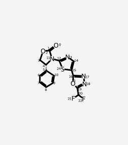 O=C1OC[C@@H](c2ccccc2)N1c1ncc(-c2nnc(C(F)F)o2)s1